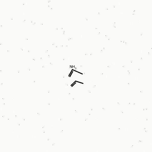 C=CC.C=CC.N